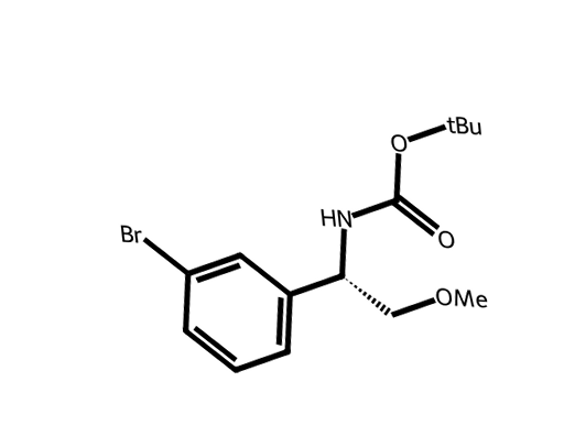 COC[C@@H](NC(=O)OC(C)(C)C)c1cccc(Br)c1